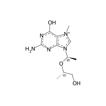 C[C@@H](CO)O[C@H](C)n1c[n+](C)c2c(O)nc(N)nc21